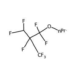 CC[CH]OC(F)(F)C(F)(C(F)F)C(F)(F)F